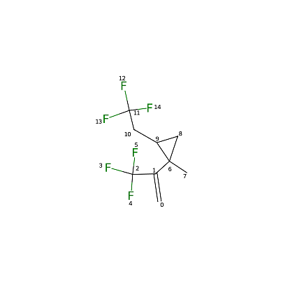 C=C(C(F)(F)F)C1(C)CC1CC(F)(F)F